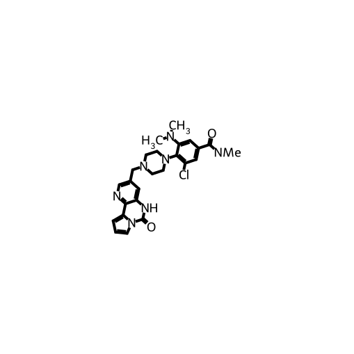 CNC(=O)c1cc(Cl)c(N2CCN(Cc3cnc4c(c3)[nH]c(=O)n3cccc43)CC2)c(N(C)C)c1